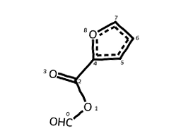 O=COC(=O)c1ccco1